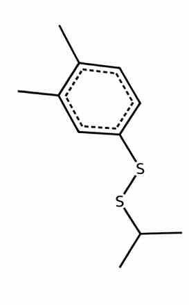 Cc1ccc(SSC(C)C)cc1C